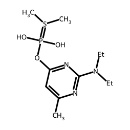 CCN(CC)c1nc(C)cc(OP(O)(O)=S(C)C)n1